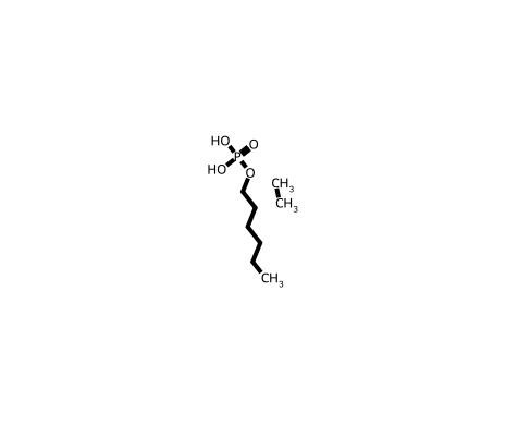 CC.CCCCCCOP(=O)(O)O